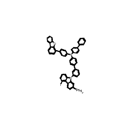 Pc1ccc2c3c(I)cccc3n(-c3cccc(-c4ccc(N(c5ccc(-c6ccccc6)cc5)c5ccc(-c6cccc7c6oc6ccccc67)cc5)cc4)c3)c2c1